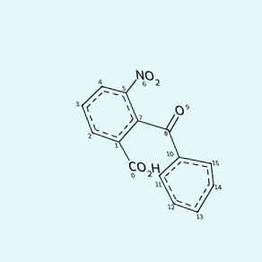 O=C(O)c1cccc([N+](=O)[O-])c1C(=O)c1ccccc1